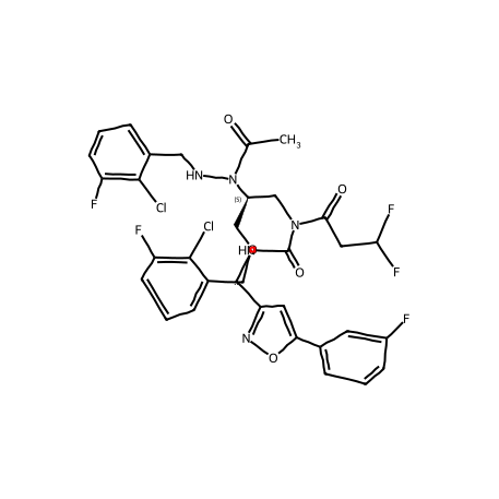 CC(=O)N(NCc1cccc(F)c1Cl)[C@H](CO[C]c1cc(-c2cccc(F)c2)on1)CN(C(=O)CC(F)F)C(=O)NCc1cccc(F)c1Cl